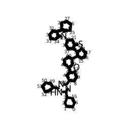 C1=CCC(C2N=C(c3ccc4oc5c(-c6cccc7sc8cc(-n9c%10ccccc%10c%10ccccc%109)ccc8c67)cccc5c4c3)N=C(c3ccccc3)N2)C=C1